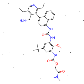 CCc1cnc(CC)c(-c2ccc(NC(=O)Nc3cc(C(C)(C)C)cc(NC(=O)OCC(=O)N(C)C)c3OC)c3ccccc23)c1CN